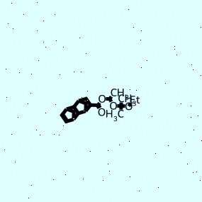 CCOC(C)(C)OC(C)OC(=O)C1CC2CC1C1C3C=CC(C3)C21